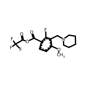 COc1ccc(C(=O)OC(=O)C(F)(F)F)c(F)c1CN1CCCCC1